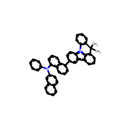 CC1(C)c2ccccc2-n2c3ccc(-c4cccc5c(N(c6ccccc6)c6ccc7ccccc7c6)cccc45)cc3c3cccc1c32